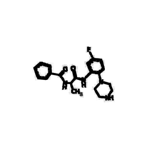 CC(NC(=O)c1ccccc1)C(=O)Nc1cc(F)ccc1N1CCNCC1